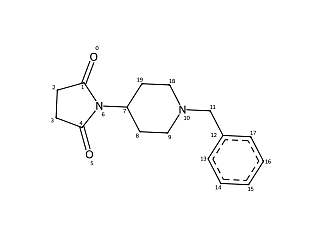 O=C1CCC(=O)N1C1CCN(Cc2ccccc2)CC1